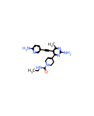 CCNC(=O)N1CC=C(c2nc(N)nc(C)c2C#Cc2ccc(N)nc2)CC1